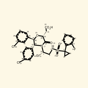 CC[C@@H](CNS(=O)(=O)C1(c2ccccc2F)CC1)N1C(=O)[C@@H](CC(=O)O)O[C@H](c2cccc(Cl)c2)[C@H]1c1ccc(Cl)cc1